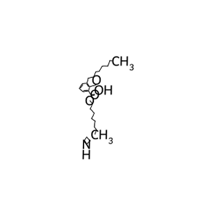 C1CNC1.CCCCCCCCOC(=O)c1cccc(CCCCCCCC)c1C(=O)O